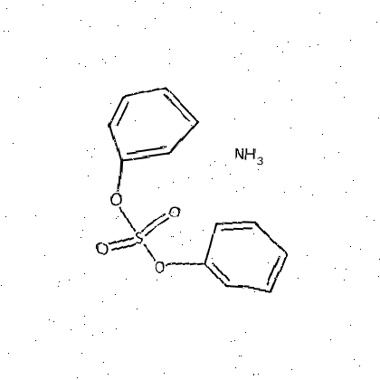 N.O=S(=O)(Oc1ccccc1)Oc1ccccc1